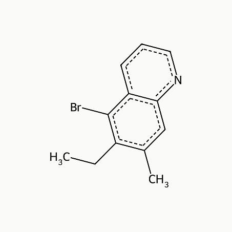 CCc1c(C)cc2ncccc2c1Br